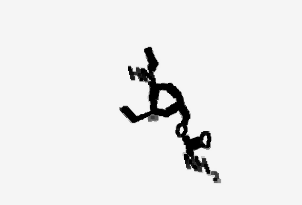 CCNC1=C[C@H](CC)C=C(COC(N)=O)C=C1